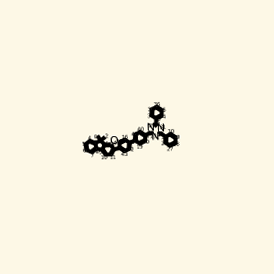 CC1(C)c2ccccc2-c2ccc3c(oc4cc(-c5ccc(-c6nc(-c7ccccc7)nc(-c7ccccc7)n6)cc5)ccc43)c21